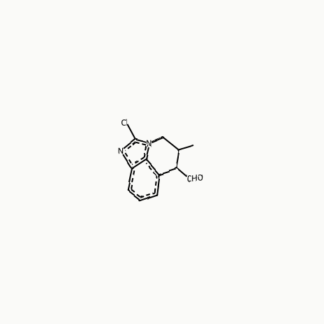 CC1Cn2c(Cl)nc3cccc(c32)C1C=O